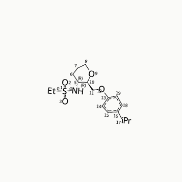 CCS(=O)(=O)N[C@@H]1CCCO[C@H]1COc1ccc(C(C)C)cc1